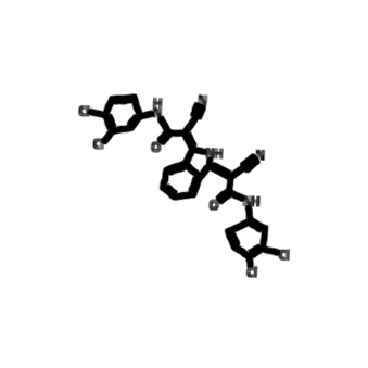 N#CC(C(=O)Nc1ccc(Cl)c(Cl)c1)=c1[nH]c(=C(C#N)C(=O)Nc2ccc(Cl)c(Cl)c2)c2ccccc12